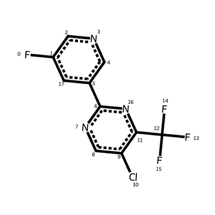 Fc1cncc(-c2ncc(Cl)c(C(F)(F)F)n2)c1